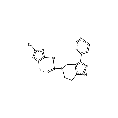 CCn1cc(C)c(NC(=O)N2CCc3[nH]nc(-c4ccncc4)c3C2)n1